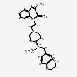 Cc1cc2ccccc2n(CCN2CCC(N(Cc3ccc4c(c3)OCCO4)C(=O)O)CC2)c1=O